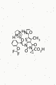 Cc1c(-c2ncco2)sc2c1c(=O)n(C1(C(=O)O)CC1)c(=O)n2C[C@H](O[C@@H]1C[C@H]2CC[C@@H](C1)O2)c1ccccc1OC(F)F